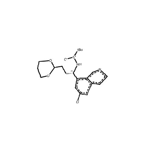 CC(C)(C)[S+]([O-])N[C@@H](CCC1OCCCO1)c1cc(Cl)cc2ccncc12